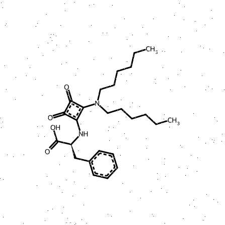 CCCCCCN(CCCCCC)c1c(N[C@@H](Cc2ccccc2)C(=O)O)c(=O)c1=O